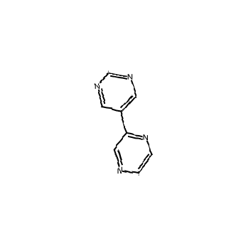 [c]1ncc(-c2cn[c]cn2)cn1